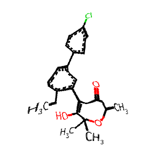 CCc1ccc(-c2ccc(Cl)cc2)cc1C1=C(O)C(C)(C)OC(C)C1=O